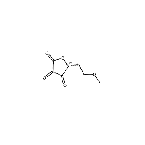 COCC[C@H]1OC(=O)C(=O)C1=O